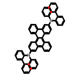 c1ccc(-c2ccccc2N(c2ccccc2)c2ccc3c(c2)c2ccccc2c2c4ccc(N(c5ccccc5)c5ccccc5-c5ccccc5)cc4c4ccccc4c32)cc1